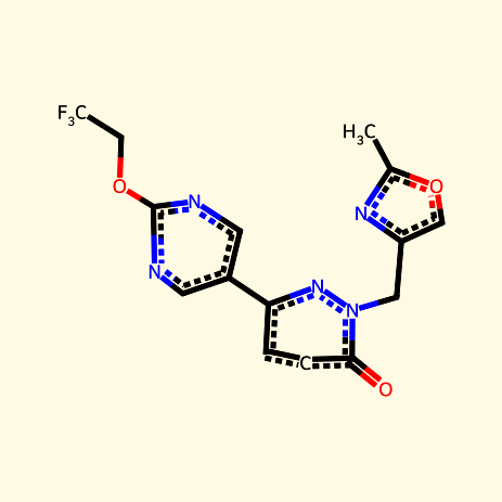 Cc1nc(Cn2nc(-c3cnc(OCC(F)(F)F)nc3)ccc2=O)co1